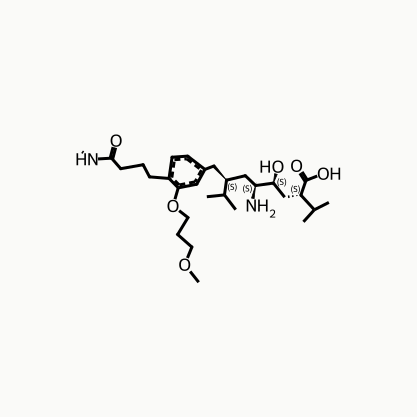 CNC(=O)CCCc1ccc(C[C@@H](C[C@H](N)[C@@H](O)C[C@H](C(=O)O)C(C)C)C(C)C)cc1OCCCOC